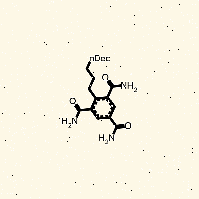 CCCCCCCCCCCCCc1c(C(N)=O)cc(C(N)=O)cc1C(N)=O